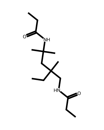 CCC(=O)NCC(C)(CC)CC(C)(C)NC(=O)CC